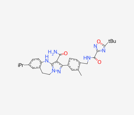 Cc1cc(-c2nn3c(c2C(N)=O)Nc2ccc(C(C)C)cc2CC3)ccc1CNC(=O)c1noc(C(C)(C)C)n1